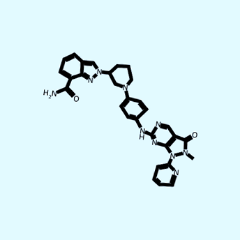 Cn1c(=O)c2cnc(Nc3ccc(N4CCCC(n5cc6cccc(C(N)=O)c6n5)C4)cc3)nc2n1-c1ccccn1